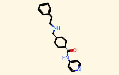 O=C(Nc1ccncc1)[C@H]1CC[C@H](CNCCc2ccccc2)CC1